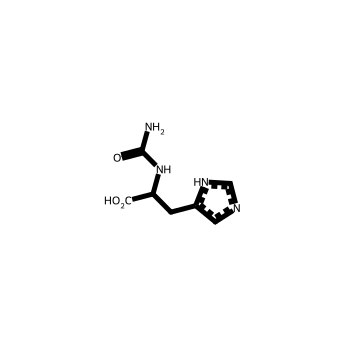 NC(=O)NC(Cc1cnc[nH]1)C(=O)O